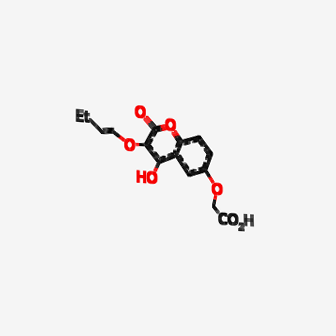 CCC=COc1c(O)c2cc(OCC(=O)O)ccc2oc1=O